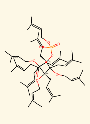 CC(C)=CCOC(CC=C(C)C)(CC=C(C)C)[C@@](CC=C(C)C)(OCC=C(C)C)C(CC=C(C)C)(OCC=C(C)C)[C@@](CC=C(C)C)(OP(=O)(O)OCC=C(C)C)C(=O)CC=C(C)C